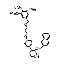 COc1cc(COCCCOc2ccc(C3CCNCC3OCc3ccc4ccccc4c3)cc2)cc(OC)c1OC